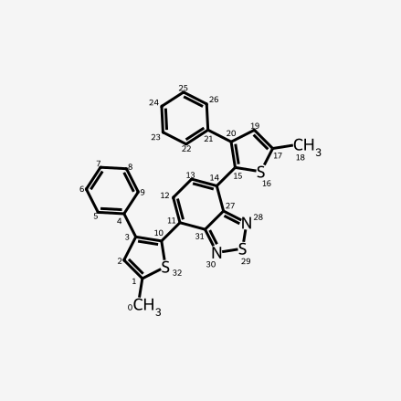 Cc1cc(-c2ccccc2)c(-c2ccc(-c3sc(C)cc3-c3ccccc3)c3nsnc23)s1